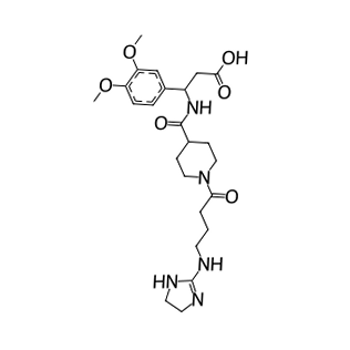 COc1ccc(C(CC(=O)O)NC(=O)C2CCN(C(=O)CCCNC3=NCCN3)CC2)cc1OC